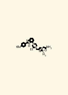 CC[C@H]1CN(c2cccc3nc(-c4ccc(C(C)(C)C)cc4)[nH]c23)CCN1Cc1cn(CC(N)=O)c(C)n1